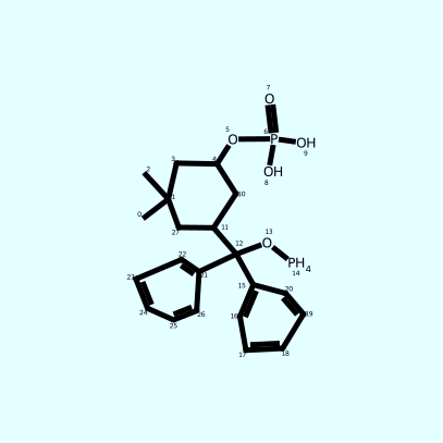 CC1(C)CC(OP(=O)(O)O)CC(C(O[PH4])(c2ccccc2)c2ccccc2)C1